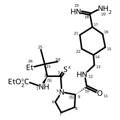 CCOC(=O)N[C@H](C(=S)N1CCC[C@H]1C(=O)NCC1CCC(C(=N)N)CC1)C(C)(C)CC